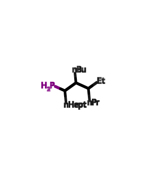 CCCCCCCC(P)C(CCCC)C(CC)CCC